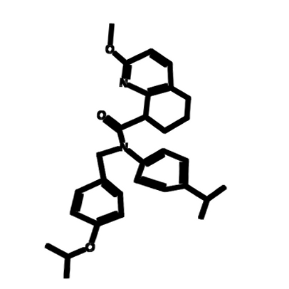 COc1ccc2c(n1)C(C(=O)N(Cc1ccc(OC(C)C)cc1)c1ccc(C(C)C)cc1)CCC2